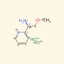 COC[C@H](N)c1ccccn1.Cl.Cl